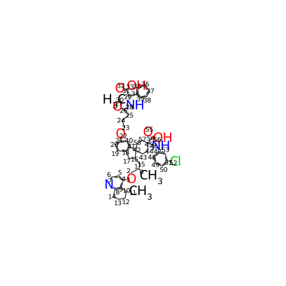 C[C@@H](COc1ccnc2c1[C@H](C)CCC2)C[C@H]1Cc2ccc(OCCCC(=O)N[C@@](C)(C(=O)O)c3ccccc3)cc2C12CCC(Nc1cccc(Cl)c1)(C(=O)O)CC2